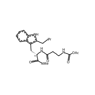 CNC(=O)[C@H](Cc1c(CC(C)C)[nH]c2ccccc12)NC(=O)CCNC(=O)OC(C)=O